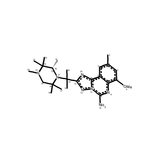 COc1cc(C)cc2c1nc(N)n1nc(C(C)(C)N3[C@@H](C)C(C)(C)N(C)CC3(C)C)nc21